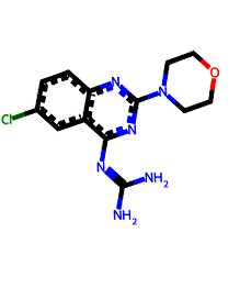 NC(N)=Nc1nc(N2CCOCC2)nc2ccc(Cl)cc12